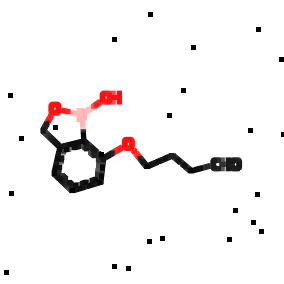 O=CCCCOc1cccc2c1B(O)OC2